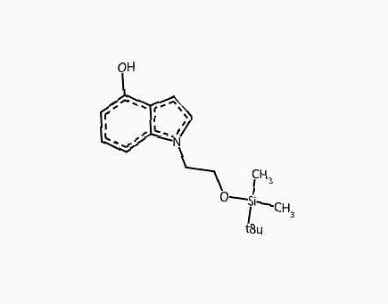 CC(C)(C)[Si](C)(C)OCCn1ccc2c(O)cccc21